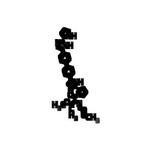 COO/C=N/[C@H](C(=O)N1CCC[C@H]1c1ncc(-c2ccc(-c3ccc(-c4cnc([C@@H]5CCCN5)[nH]4)cc3)cc2)[nH]1)[C@@H](C)OC